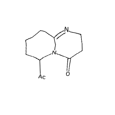 CC(=O)C1CCCC2=NCCC(=O)N21